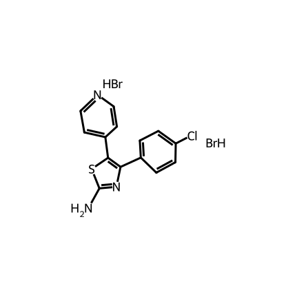 Br.Br.Nc1nc(-c2ccc(Cl)cc2)c(-c2ccncc2)s1